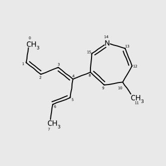 C\C=C/C=C(\C=C\C)C1=CC(C)C=CN=C1